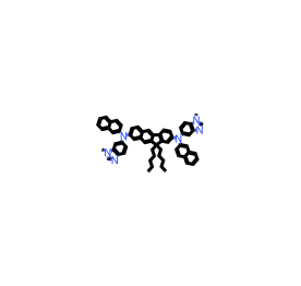 CCCCCC1(CCCCC)c2cc(N(c3ccc4ccccc4c3)c3ccc4c(c3)ncn4C)ccc2-c2cc3ccc(N(c4ccc5ccccc5c4)c4ccc5ncn(C)c5c4)cc3cc21